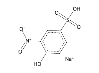 O=[N+]([O-])c1cc(S(=O)(=O)O)ccc1O.[Na+]